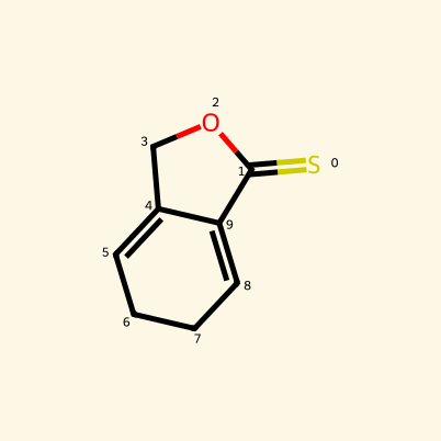 S=C1OCC2=CCCC=C12